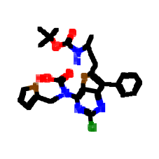 CC(Cc1sc2c(N(Cc3cccs3)C(=O)O)nc(Cl)nc2c1-c1ccccc1)NC(=O)OC(C)(C)C